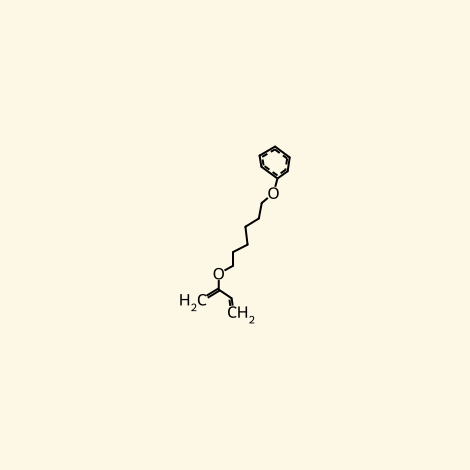 C=CC(=C)OCCCCCCOc1ccccc1